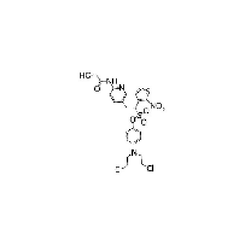 O=C(CO)Nc1ccc(CC(c2ccsc2[N+](=O)[O-])S(=O)(=O)Oc2ccc(N(CCCl)CCCl)cc2)cn1